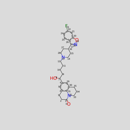 O=C1CCc2cc(C(O)CCCCN3CCC(c4noc5cc(F)ccc45)CC3)cc3c2N1CCC3